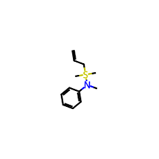 C=CCS(C)(C)N(C)c1ccccc1